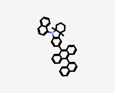 CC12CCCCC1(C)N(c1cccc3ccccc13)c1ccc(-c3c4ccccc4c(-c4cccc5ccccc45)c4ccccc34)cc12